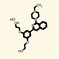 CCN1CCN(c2nc(-c3cc(OCCO)cc(OCCO)c3)cc3ccccc23)CC1.Cl